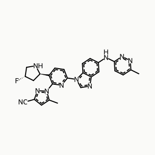 Cc1ccc(Nc2ccc3c(c2)ncn3-c2ccc([C@H]3C[C@H](F)CN3)c(-n3nc(C#N)cc3C)n2)nn1